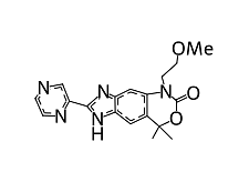 COCCN1C(=O)OC(C)(C)c2cc3[nH]c(-c4cnccn4)nc3cc21